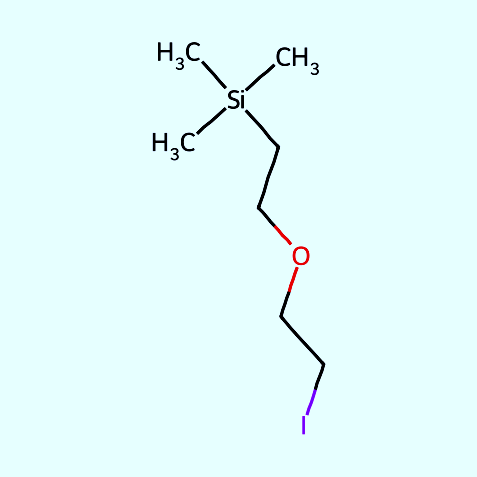 C[Si](C)(C)CCOCCI